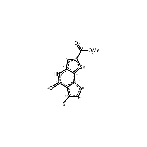 COC(=O)c1cc2[nH]c(=O)c3c(C)ccn3c2s1